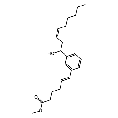 CCCCC/C=C\CC(O)c1cccc(/C=C/CCCC(=O)OC)c1